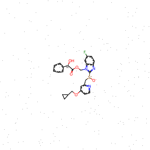 O=C(OCn1c([S+]([O-])Cc2cc(OCC3CC3)ccn2)nc2ccc(F)cc21)[C@H](O)c1ccccc1